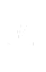 CCC(C)(C)CC(C)(C)CCCBr